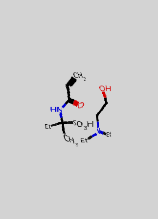 C=CC(=O)NC(C)(CC)S(=O)(=O)O.CCN(CC)CCO